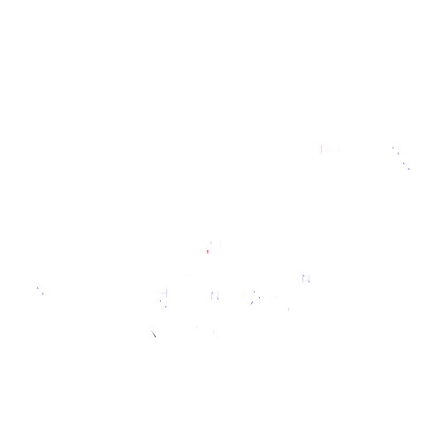 Cc1ncsc1-c1ccc([C@H](C)NC(=O)[C@@H]2C[C@@H](O)CN2C(=O)[C@@H](NC(=O)CN2CCCC(c3ccc(-c4cnnc(-c5ccccc5O)c4)cc3)C2)C(C)(C)C)cc1